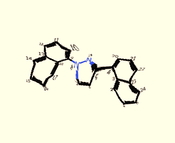 c1ccc2c(-c3ccn(-c4cccc5ccccc45)n3)cccc2c1